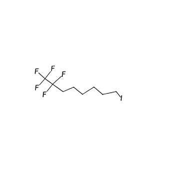 FC(F)(F)C(F)(F)CCCCCCI